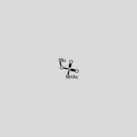 CC(=O)NS(=O)(=O)OC(C)(C)C